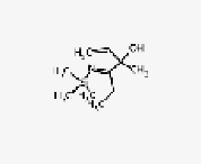 C=CC(C)(O)C(CC)=N[Si](C)(C)C